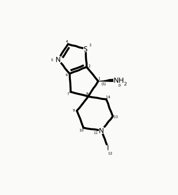 N[C@@H]1c2scnc2CC12CCN(I)CC2